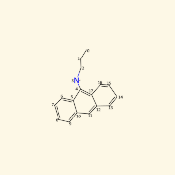 CCC[N]c1c2ccccc2cc2ccccc12